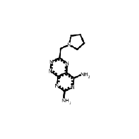 Nc1nc(N)c2nc(CN3CCCC3)nnc2n1